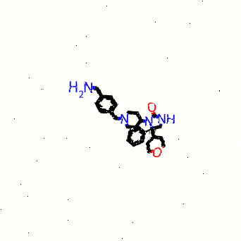 NCc1ccc(CN2CCC(N3C(=O)NC[C@]3(c3ccccc3)C3CCOCC3)CC2)cc1